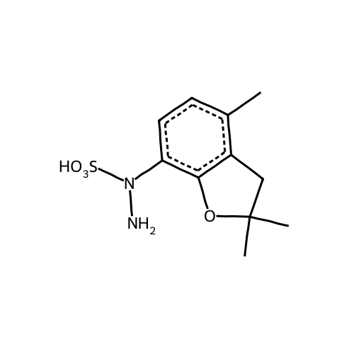 Cc1ccc(N(N)S(=O)(=O)O)c2c1CC(C)(C)O2